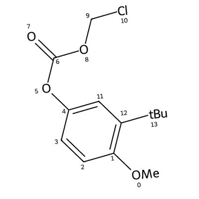 COc1ccc(OC(=O)OCCl)cc1C(C)(C)C